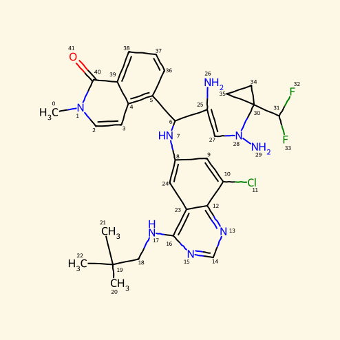 Cn1ccc2c(C(Nc3cc(Cl)c4ncnc(NCC(C)(C)C)c4c3)/C(N)=C/N(N)C3(C(F)F)CC3)cccc2c1=O